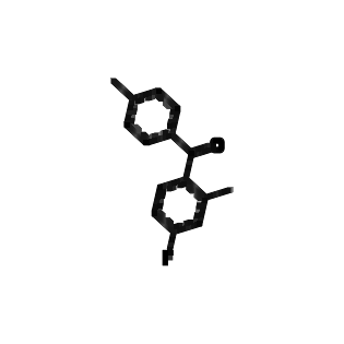 Cc1ccc(C(=O)c2ccc(F)cc2C)cc1